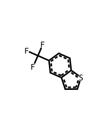 FC(F)(F)c1ccc2sccc2c1